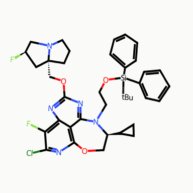 CC(C)(C)[Si](OCCN1c2nc(OC[C@@]34CCCN3C[C@H](F)C4)nc3c(F)c(Cl)nc(c23)OC[C@@H]1C1CC1)(c1ccccc1)c1ccccc1